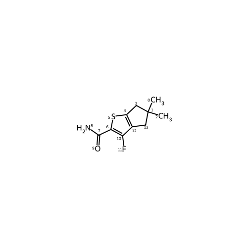 CC1(C)Cc2sc(C(N)=O)c(F)c2C1